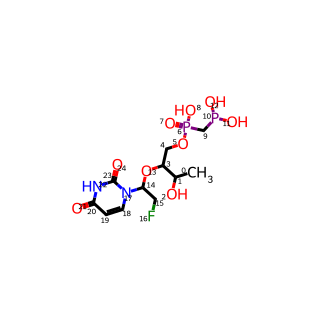 CC(O)C(COP(=O)(O)CP(O)O)OC(CF)n1ccc(=O)[nH]c1=O